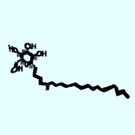 CCCCCCCCCCCCCCN(C)CCCC[C@@H]1O[C@H](CO)[C@@H](O)[C@H](O)[C@H]1O